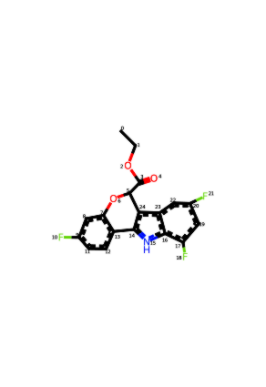 CCOC(=O)C1Oc2cc(F)ccc2-c2[nH]c3c(F)cc(F)cc3c21